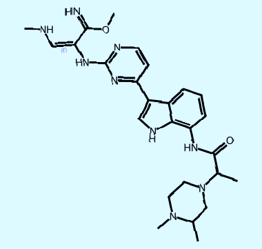 CN/C=C(/Nc1nccc(-c2c[nH]c3c(NC(=O)C(C)N4CCN(C)C(C)C4)cccc23)n1)C(=N)OC